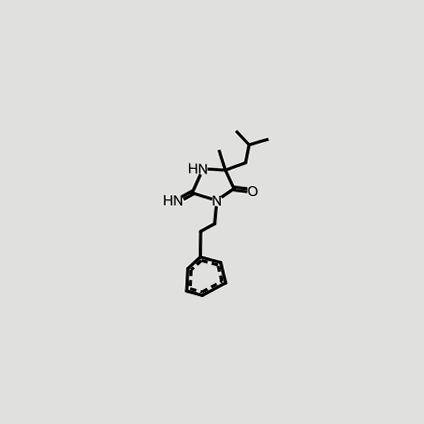 CC(C)CC1(C)NC(=N)N(CCc2ccccc2)C1=O